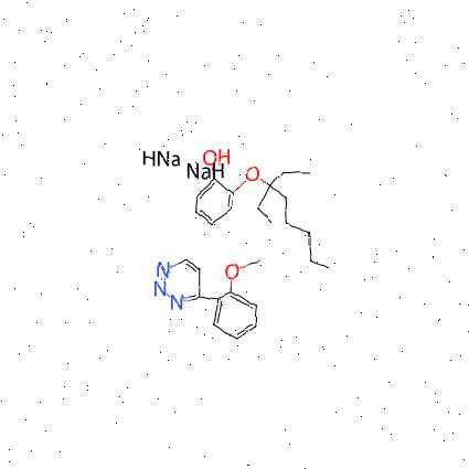 CCCCCC(CC)(CC)Oc1ccccc1O.COc1ccccc1-c1ccnnn1.[NaH].[NaH]